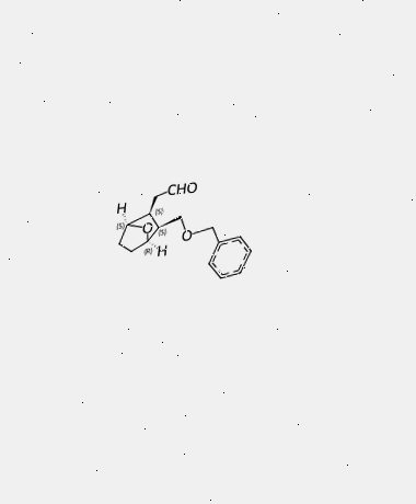 O=CC[C@H]1[C@@H](COCc2ccccc2)[C@H]2CC[C@@H]1O2